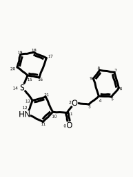 O=C(OCc1ccccc1)c1c[nH]c(Sc2ccccc2)c1